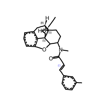 Cc1cccc(/C=C/C(=O)N(C)C2CC[C@@]3(O)[C@H]4Cc5cccc6c5[C@@]3(CCN4C)C2O6)c1